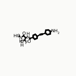 Nc1ccc(C#Cc2ccc(C(=O)N[C@H](C(=O)NO)[C@H](O)F)cc2)cc1